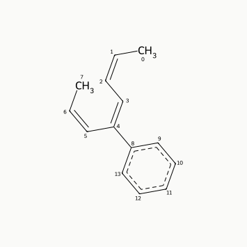 C\C=C/C=C(\C=C/C)c1ccccc1